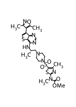 COC(=O)N(C)c1nc(C)c(S(=O)(=O)N2CCN(C[C@H](C)Nc3ncnc4c(-c5c(C)noc5C)csc34)CC2)s1